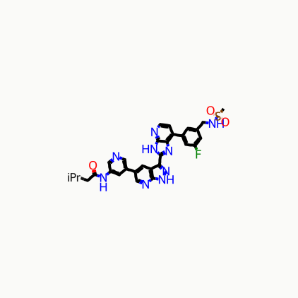 CC(C)CC(=O)Nc1cncc(-c2cnc3[nH]nc(-c4nc5c(-c6cc(F)cc(CNS(C)(=O)=O)c6)ccnc5[nH]4)c3c2)c1